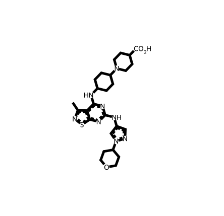 Cc1nsc2nc(Nc3cnn(C4CCOCC4)c3)nc(NC3CCC(N4CCC(C(=O)O)CC4)CC3)c12